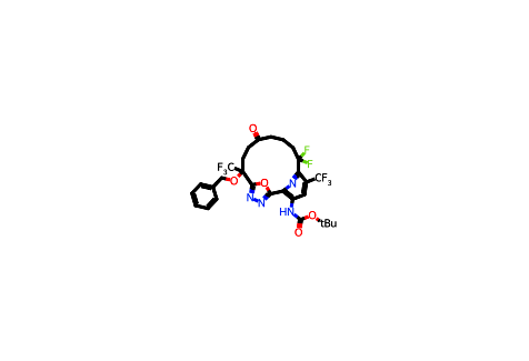 CC(C)(C)OC(=O)Nc1cc(C(F)(F)F)c2nc1-c1nnc(o1)C(OCc1ccccc1)(C(F)(F)F)CCC(=O)CCCC2(F)F